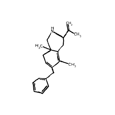 C=C(C)C1CC2=C(C)C(Cc3ccccc3)=CCC2(C)CN1